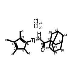 CC1=C(C)C(C)[C]([Ti+2][NH]C(=O)C23CC4CC(CC(C4)C2)C3)=C1C.[Cl-].[Cl-]